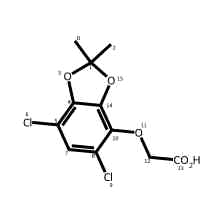 CC1(C)Oc2c(Cl)cc(Cl)c(OCC(=O)O)c2O1